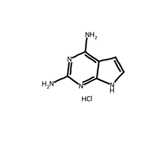 Cl.Nc1nc(N)c2cc[nH]c2n1